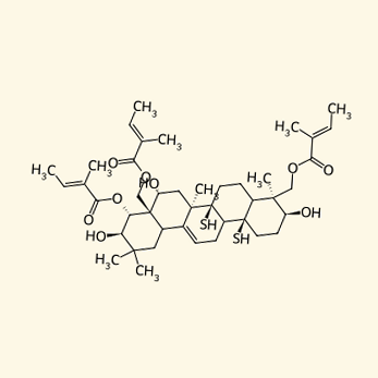 C/C=C(\C)C(=O)OC[C@@]12C(CC(C)(C)[C@@H](O)[C@@H]1OC(=O)/C(C)=C/C)C1=CCC3[C@@]4(S)CC[C@H](O)[C@](C)(COC(=O)/C(C)=C/C)C4CC[C@@]3(S)[C@]1(C)C[C@H]2O